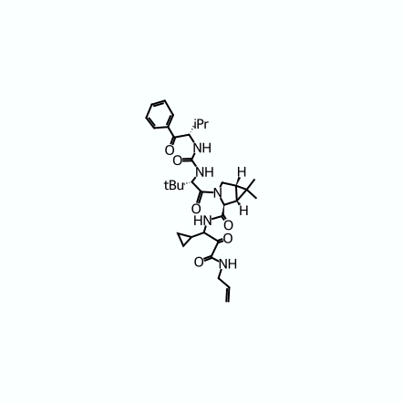 C=CCNC(=O)C(=O)C(NC(=O)[C@@H]1[C@@H]2[C@H](CN1C(=O)[C@@H](NC(=O)N[C@H](C(=O)c1ccccc1)C(C)C)C(C)(C)C)C2(C)C)C1CC1